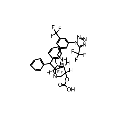 O=C(O)O[C@@H]1CN2CC[C@@H]1[C@H](NCc1cc(-n3nnnc3C(F)(F)F)cc(C(F)(F)F)c1)[C@@H]2C(c1ccccc1)c1ccccc1